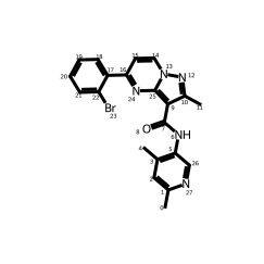 Cc1cc(C)c(NC(=O)c2c(C)nn3ccc(-c4ccccc4Br)nc23)cn1